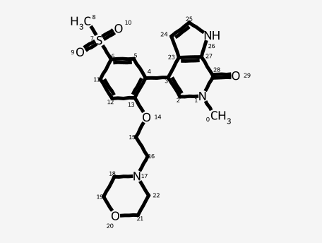 Cn1cc(-c2cc(S(C)(=O)=O)ccc2OCCN2CCOCC2)c2cc[nH]c2c1=O